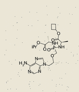 CC(C)OC(=O)[C@H](C)NP(=O)(CO[C@H](C)Cn1cnc2c(N)ncnc21)N[C@H](C)C(=O)OC1CCC1